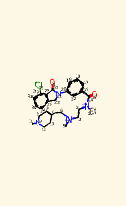 CCN(CCN(C)CC1CCN(C)CC1)C(=O)c1cccc(N2Cc3cccc(Cl)c3C2=O)c1